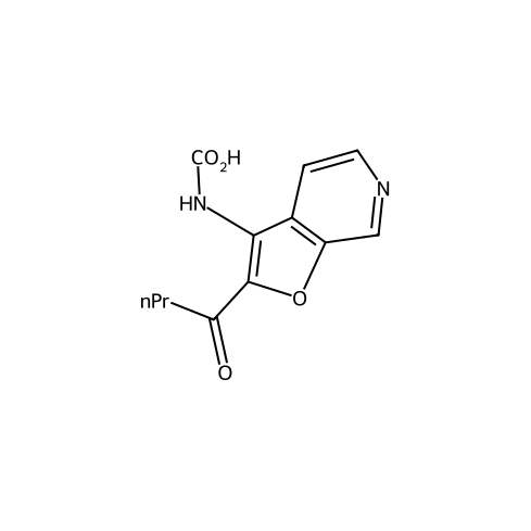 CCCC(=O)c1oc2cnccc2c1NC(=O)O